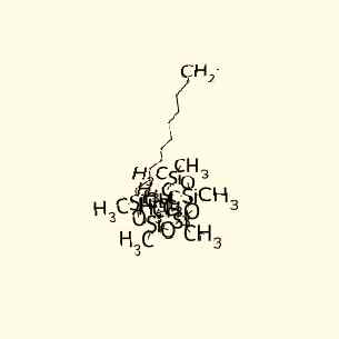 [CH2]CCCCCCCCCC[Si](C)(C)O[Si](C)(C)O[Si](C)(C)O[Si](C)(C)O[Si](C)(C)C